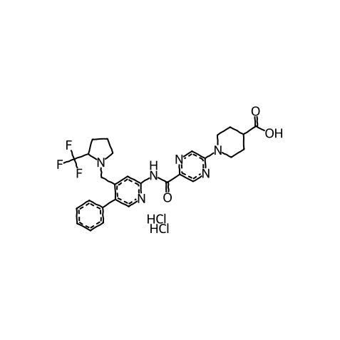 Cl.Cl.O=C(Nc1cc(CN2CCCC2C(F)(F)F)c(-c2ccccc2)cn1)c1cnc(N2CCC(C(=O)O)CC2)cn1